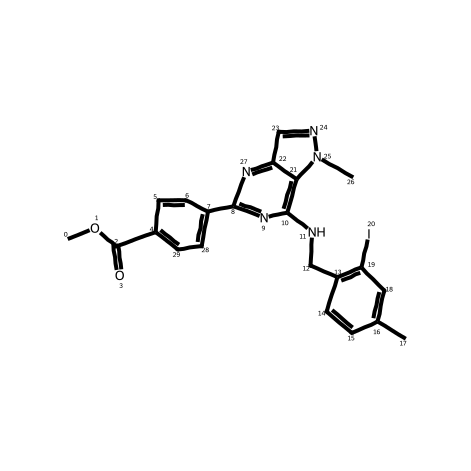 COC(=O)c1ccc(-c2nc(NCc3ccc(C)cc3I)c3c(cnn3C)n2)cc1